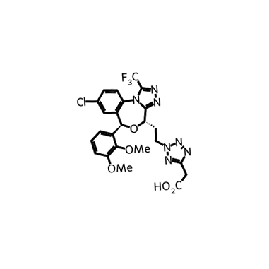 COc1cccc([C@@H]2O[C@@H](CCn3nnc(CC(=O)O)n3)c3nnc(C(F)(F)F)n3-c3ccc(Cl)cc32)c1OC